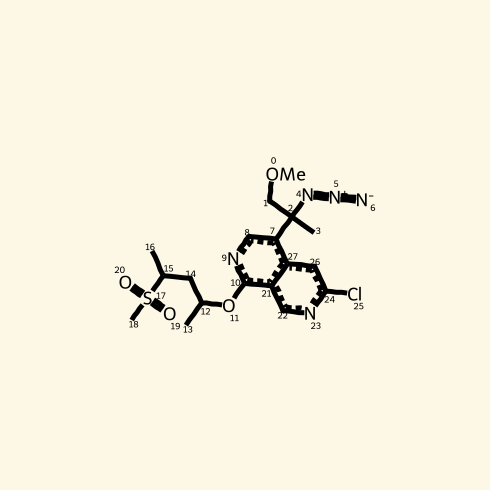 COCC(C)(N=[N+]=[N-])c1cnc(OC(C)CC(C)S(C)(=O)=O)c2cnc(Cl)cc12